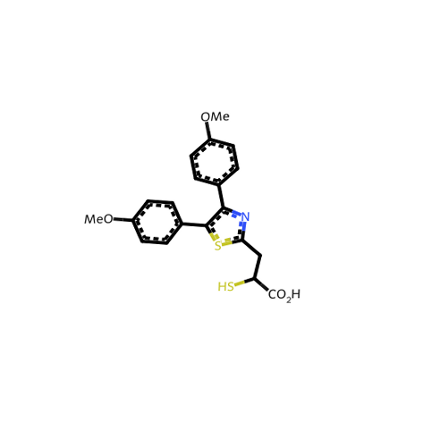 COc1ccc(-c2nc(CC(S)C(=O)O)sc2-c2ccc(OC)cc2)cc1